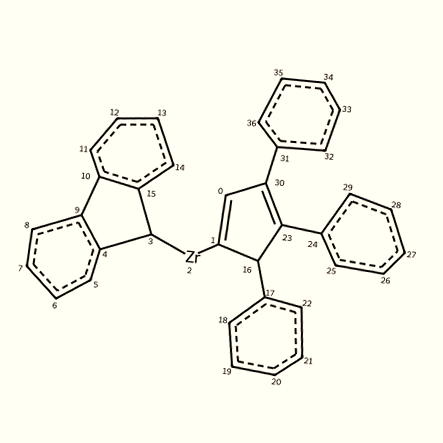 C1=[C]([Zr][CH]2c3ccccc3-c3ccccc32)C(c2ccccc2)C(c2ccccc2)=C1c1ccccc1